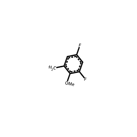 [CH2]c1cc(F)cc(F)c1OC